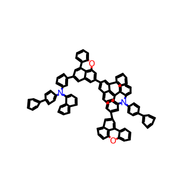 c1ccc(-c2ccc(N(c3cccc(-c4cc5c6c(cccc6c4)Oc4ccccc4-5)c3)c3ccccc3-c3cccc4cc(-c5cc6c7c(cc(-c8cccc(N(c9ccc(-c%10ccccc%10)cc9)c9cccc%10ccccc9%10)c8)cc7c5)-c5ccccc5O6)cc(-c5ccccc5)c34)cc2)cc1